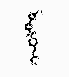 C=CC(=O)NCC1CCN(S(=O)(=O)c2ccc(-c3csc(C)n3)s2)CC1